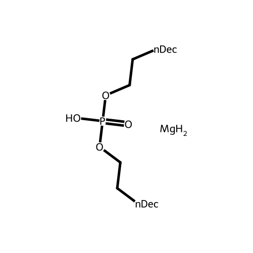 CCCCCCCCCCCCOP(=O)(O)OCCCCCCCCCCCC.[MgH2]